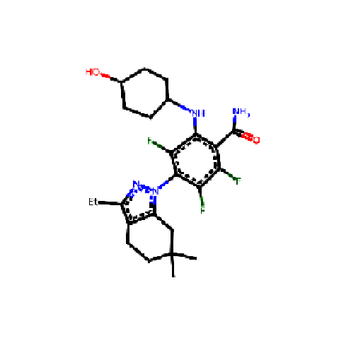 CCc1nn(-c2c(F)c(F)c(C(N)=O)c(NC3CCC(O)CC3)c2F)c2c1CCC(C)(C)C2